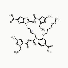 CCn1nc(C)cc1C(=O)Nc1nc2cc(C(N)=O)sc2n1C/C=C/Cn1c(NC(=O)c2cc(C)nn2CC)nc2cc(C(N)=O)cc(OCCCOSC)c21